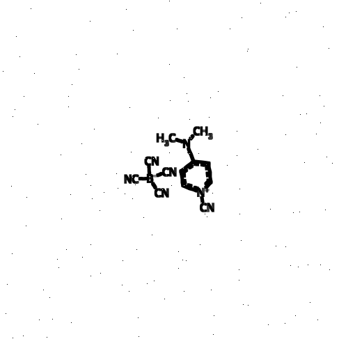 CN(C)c1cc[n+](C#N)cc1.N#C[B-](C#N)(C#N)C#N